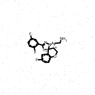 CC(=O)N1N=C(c2cc(F)ccc2F)S[C@@]12c1cc(F)ccc1OC[C@H]2CCN